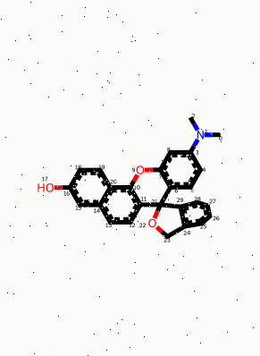 CN(C)c1ccc2c(c1)Oc1c(ccc3cc(O)ccc13)C21OCc2ccccc21